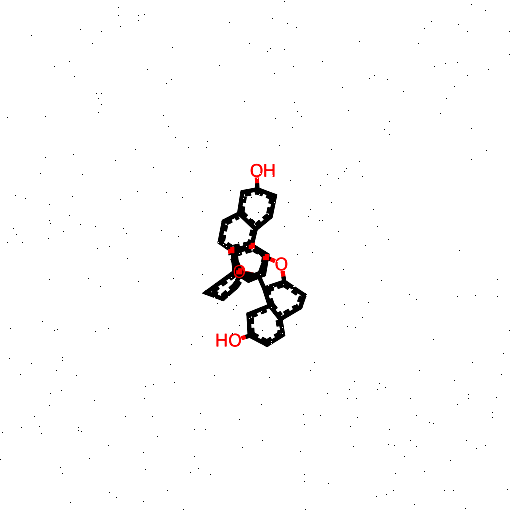 Oc1ccc2c3c(ccc2c1)OC12c4c(ccc5ccc(O)cc45)OC31c1cccc3cccc2c13